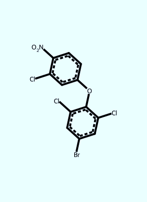 O=[N+]([O-])c1ccc(Oc2c(Cl)cc(Br)cc2Cl)cc1Cl